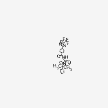 CC(C)(C(=O)N1CCOC[C@@H]1CNC(=O)c1ccc(-c2noc(C(F)(F)F)n2)cc1)c1ccccc1